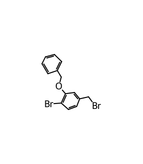 BrCc1ccc(Br)c(OCc2ccccc2)c1